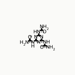 NC(=O)Nc1nc(NC(N)=O)nc(NC(N)=O)n1